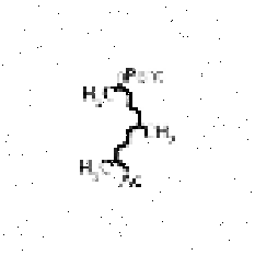 CCCCCC(C)CCCC(C)CCCC(C)CC(C)=O